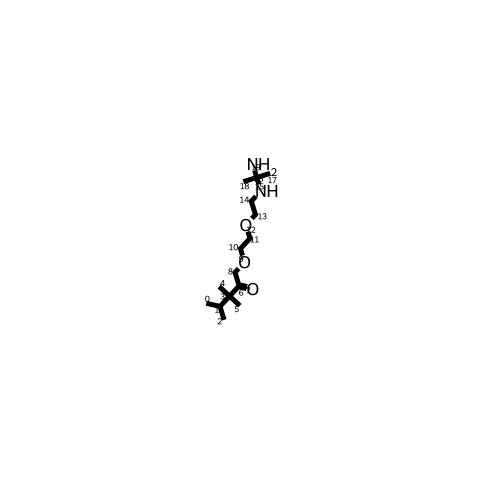 CC(C)C(C)(C)C(=O)COCCOCCNC(C)(C)N